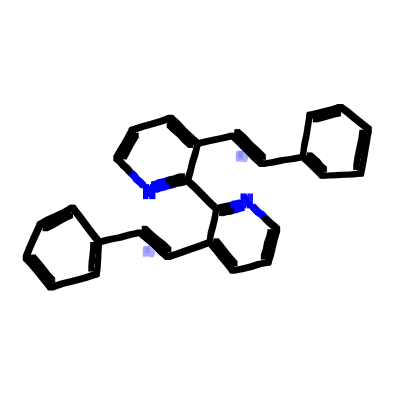 C(=C\c1cccnc1-c1ncccc1/C=C/c1ccccc1)/c1ccccc1